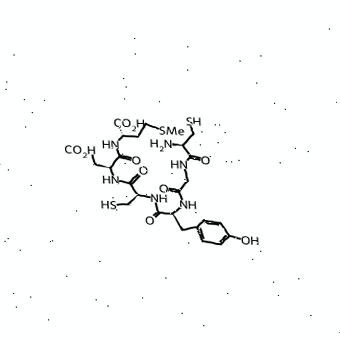 CSCC[C@H](NC(=O)[C@H](CC(=O)O)NC(=O)[C@H](CS)NC(=O)[C@H](Cc1ccc(O)cc1)NC(=O)CNC(=O)[C@@H](N)CS)C(=O)O